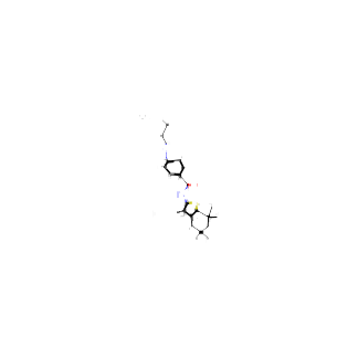 COCCCNc1ccc(C(=O)Nc2sc3c(c2C(=O)O)CC(C)(C)CC3(C)C)cc1